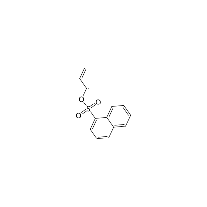 C=C[CH]OS(=O)(=O)c1cccc2ccccc12